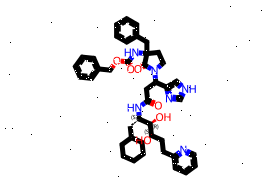 O=C(CC(c1c[nH]cn1)N1CCC(Cc2ccccc2)(NC(=O)OCc2ccccc2)C1=O)N[C@@H](CC1CCCCC1)[C@@H](O)[C@@H](O)CCc1ccccn1